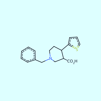 O=C(O)C1CN(Cc2ccccc2)CCC1c1cccs1